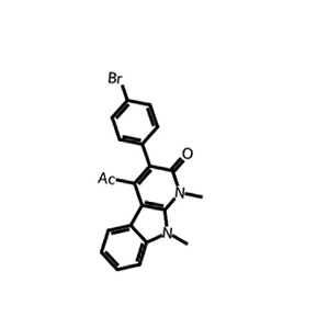 CC(=O)c1c(-c2ccc(Br)cc2)c(=O)n(C)c2c1c1ccccc1n2C